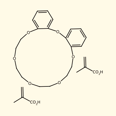 C=C(C)C(=O)O.C=C(C)C(=O)O.c1ccc2c(c1)OCCOCCOCCOCCOc1ccccc1O2